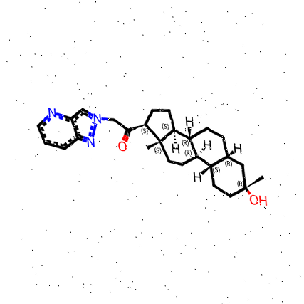 C[C@@]1(O)CC[C@H]2[C@H](CC[C@@H]3[C@@H]2CC[C@]2(C)[C@@H](C(=O)Cn4cc5ncccc5n4)CC[C@@H]32)C1